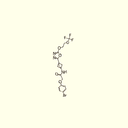 O=C(COc1ccc(Br)cc1)NC12CC(c3nnc(OCCOC(F)(F)F)o3)(C1)C2